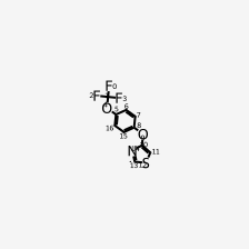 FC(F)(F)Oc1ccc(Oc2cs[c]n2)cc1